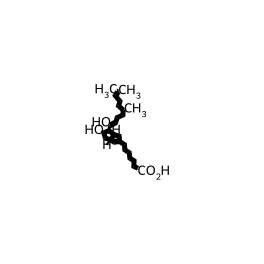 CC(C)=CCCC(C)CCC=C(O)[C@H]1[C@@H]2CC(CCCCCCC(=O)O)=C[C@@H]2C[C@@H]1O